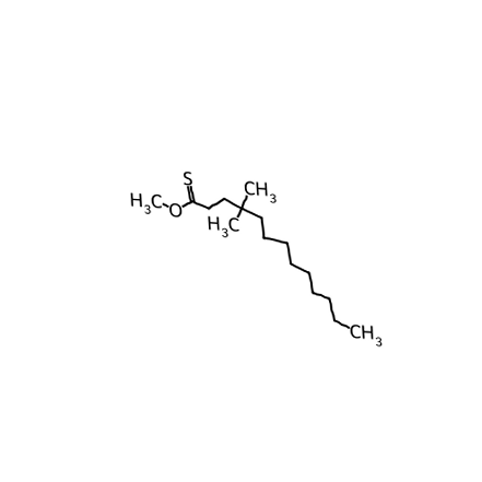 CCCCCCCCCC(C)(C)CCC(=S)OC